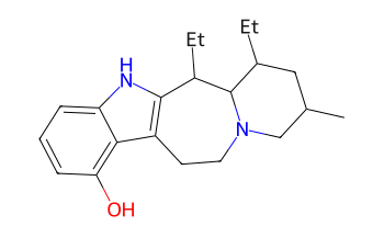 CCC1CC(C)CN2CCc3c([nH]c4cccc(O)c34)C(CC)C12